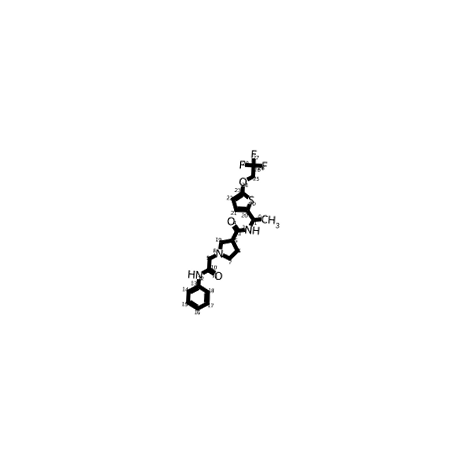 CC(NC(=O)C1CCN(CC(=O)Nc2ccccc2)C1)c1ccc(OCC(F)(F)F)s1